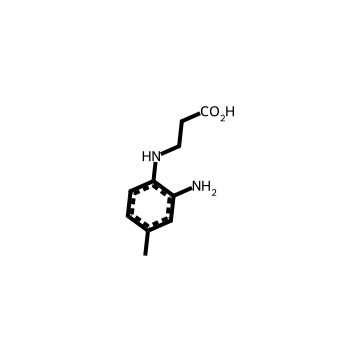 Cc1ccc(NCCC(=O)O)c(N)c1